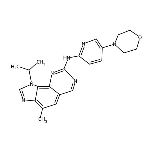 Cc1cc2cnc(Nc3ccc(N4CCOCC4)cn3)nc2c2c1ncn2C(C)C